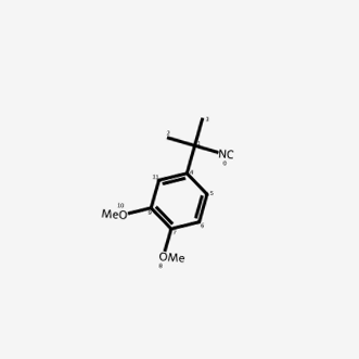 [C-]#[N+]C(C)(C)c1ccc(OC)c(OC)c1